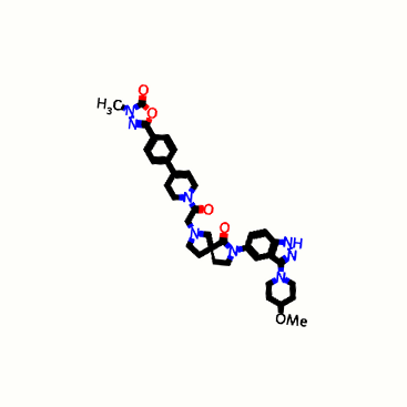 COC1CCN(c2n[nH]c3ccc(N4CC[C@]5(CCN(CC(=O)N6CC=C(c7ccc(-c8nn(C)c(=O)o8)cc7)CC6)C5)C4=O)cc23)CC1